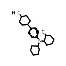 CC1CCC(c2ccc(N(C3CCCCC3)C3CCCCC3C)cc2)CC1